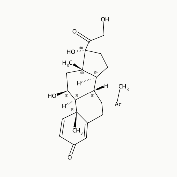 CC(C)=O.C[C@]12C=CC(=O)C=C1CC[C@@H]1[C@@H]2[C@@H](O)C[C@@]2(C)[C@H]1CC[C@]2(O)C(=O)CO